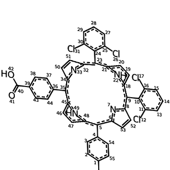 Cc1ccc(-c2c3nc(c(-c4c(Cl)cccc4Cl)c4ccc([nH]4)c(-c4c(Cl)cccc4Cl)c4nc(c(-c5ccc(C(=O)O)cc5)c5ccc2[nH]5)C=C4)C=C3)cc1